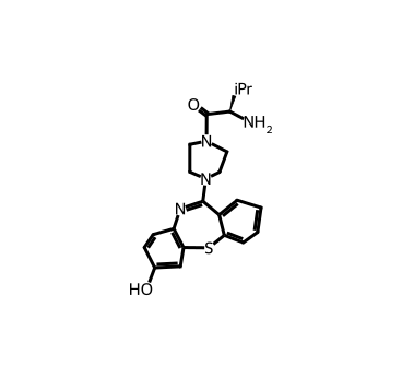 CC(C)[C@@H](N)C(=O)N1CCN(C2=Nc3ccc(O)cc3Sc3ccccc32)CC1